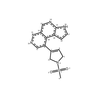 CS(=O)(=O)N1CC=C(c2cnnc3cnc4[nH]ccc4c23)C1